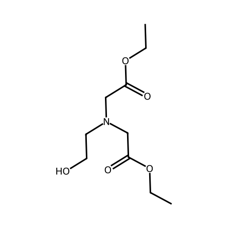 CCOC(=O)CN(CCO)CC(=O)OCC